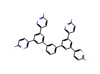 Brc1ccc(-c2cc(-c3ccc(Br)nc3)cc(-c3cccc(-c4cc(-c5ccc(Br)nc5)cc(-c5ccc(Br)nc5)c4)c3)c2)cn1